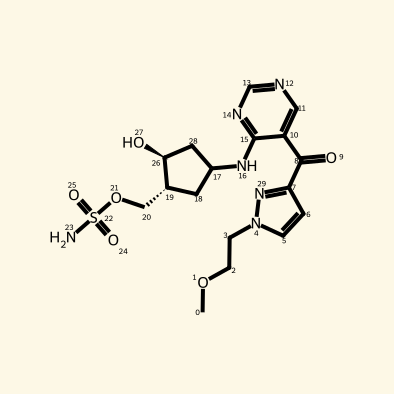 COCCn1ccc(C(=O)c2cncnc2NC2C[C@H](COS(N)(=O)=O)[C@@H](O)C2)n1